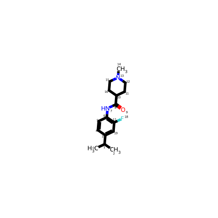 CC(C)c1ccc(NC(=O)C2CCN(C)CC2)c(F)c1